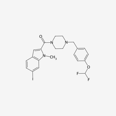 Cn1c(C(=O)N2CCN(Cc3ccc(OC(F)F)cc3)CC2)cc2ccc(I)cc21